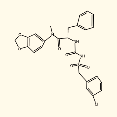 CN(C(=O)[C@H](Cc1ccccc1)NC(=O)NS(=O)(=O)Cc1cccc(Cl)c1)c1ccc2c(c1)OCO2